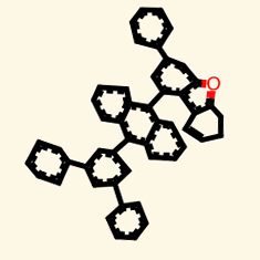 C1=Cc2c(oc3cc(-c4ccccc4)cc(-c4c5ccccc5c(-c5cc(-c6ccccc6)cc(-c6ccccc6)c5)c5ccccc45)c23)CC1